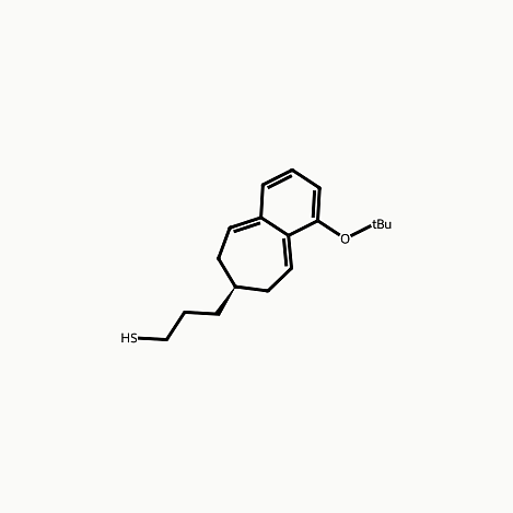 CC(C)(C)Oc1cccc2c1=CC[C@@H](CCCS)CC=2